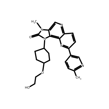 Cc1ccc(-c2ccc3ncc4c(c3n2)n(C2CCC(OCCO)CC2)c(=O)n4C)cn1